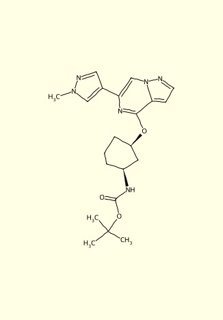 Cn1cc(-c2cn3nccc3c(O[C@@H]3CCC[C@H](NC(=O)OC(C)(C)C)C3)n2)cn1